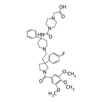 COc1cc(C(=O)N2CCC(CCN3CCC(NC(=O)N4CCN(CC(=O)O)CC4)(c4ccccc4)CC3)(c3ccc(F)cc3)C2)cc(OC)c1OC